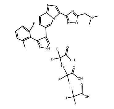 CN(C)Cc1nc(-c2cnc3ccc(-c4c[nH]nc4-c4c(F)cccc4F)cn23)no1.O=C(O)C(F)(F)F.O=C(O)C(F)(F)F.O=C(O)C(F)(F)F